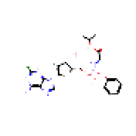 CC(C)OC(=O)[C@H](C)NP(=O)(OC[C@H]1S[C@@H](n2cnc3c(N)nc(Cl)nc32)[C@@H](F)[C@@H]1O)Oc1ccccc1